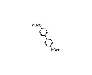 CCCCCCCCc1ccc(C2=CCC(CCCCCCCC)C=C2)cc1